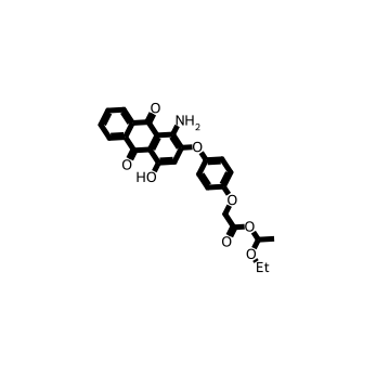 CCOC(C)OC(=O)COc1ccc(Oc2cc(O)c3c(c2N)C(=O)c2ccccc2C3=O)cc1